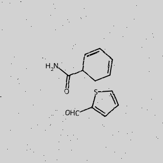 NC(=O)C1C=CC=CC1.O=Cc1cccs1